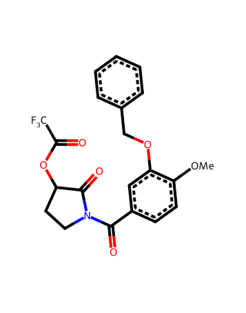 COc1ccc(C(=O)N2CCC(OC(=O)C(F)(F)F)C2=O)cc1OCc1ccccc1